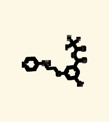 O=C(OC(=O)C(F)(F)F)c1cc(Br)cc(OCCNc2ccncc2)c1